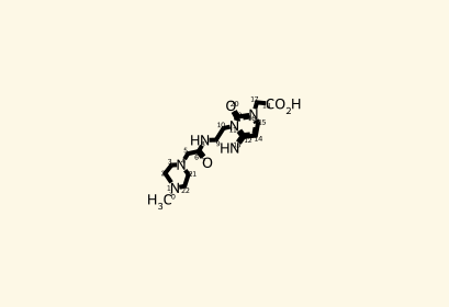 CN1CCN(CC(=O)NCCn2c(=N)ccn(CC(=O)O)c2=O)CC1